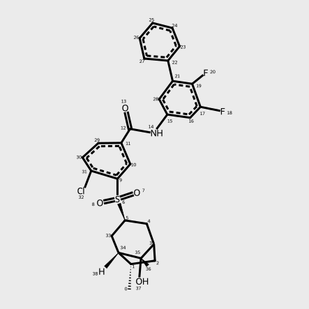 C[C@H]1CC2C[C@H](S(=O)(=O)c3cc(C(=O)Nc4cc(F)c(F)c(-c5ccccc5)c4)ccc3Cl)C[C@@H]1[C@@]2(C)O